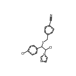 N#Cc1ccc(CSC(c2ccc(Cl)cc2)C(Cl)n2ccnc2)cc1